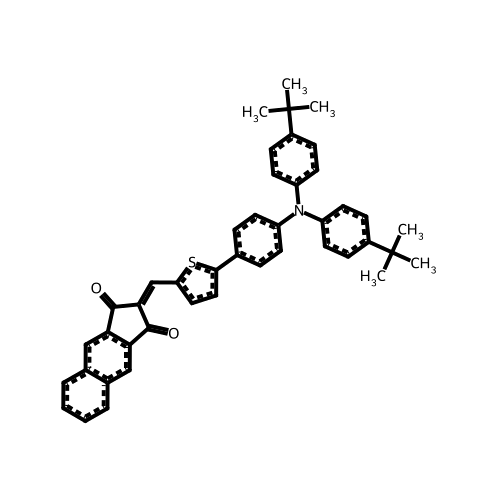 CC(C)(C)c1ccc(N(c2ccc(-c3ccc(C=C4C(=O)c5cc6ccccc6cc5C4=O)s3)cc2)c2ccc(C(C)(C)C)cc2)cc1